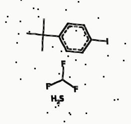 CC(C)(C)c1ccc(I)cc1.FC(F)F.S